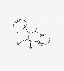 Nn1c(=O)c2ccccc2c(=O)n1-c1ccccc1